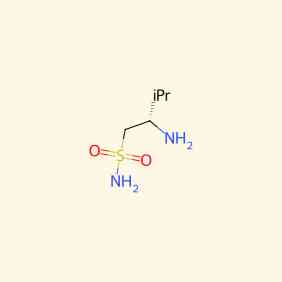 CC(C)[C@H](N)CS(N)(=O)=O